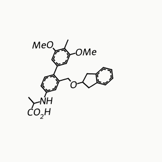 COc1cc(-c2ccc(NC(C)C(=O)O)cc2COC2Cc3ccccc3C2)cc(OC)c1C